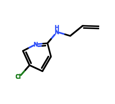 C=CCNc1ccc(Cl)cn1